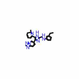 CCc1cccc(NCc2nc(-c3ccc4ncnn4c3)c(C3=CC=CCC(C)=N3)[nH]2)c1